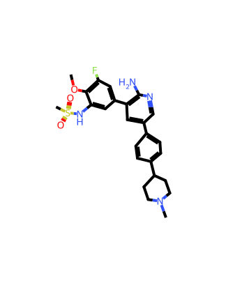 COc1c(F)cc(-c2cc(-c3ccc(C4CCN(C)CC4)cc3)cnc2N)cc1NS(C)(=O)=O